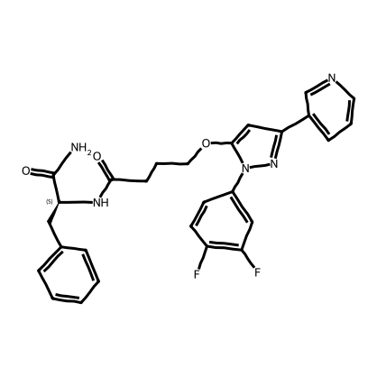 NC(=O)[C@H](Cc1ccccc1)NC(=O)CCCOc1cc(-c2cccnc2)nn1-c1ccc(F)c(F)c1